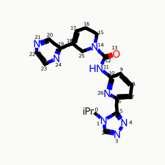 CC(C)n1cnnc1-c1cccc(NC(=O)N2CCC=C(c3cnccn3)C2)n1